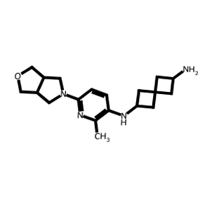 Cc1nc(N2CC3COCC3C2)ccc1NC1CC2(CC(N)C2)C1